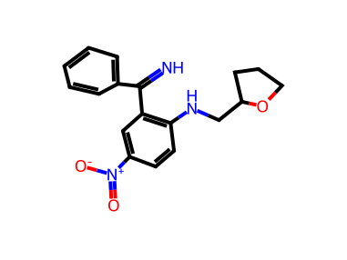 N=C(c1ccccc1)c1cc([N+](=O)[O-])ccc1NCC1CCCO1